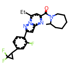 CCc1cc(C(=O)N2CCCCCC2C)nc2cc(-c3ccc(C4CC4(F)F)cc3F)nn12